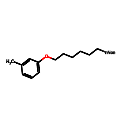 CCCCCCCCCCCCCCCOc1cccc(C)c1